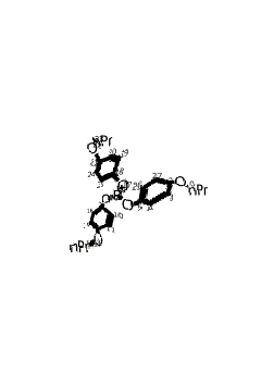 CCCOc1ccc(OB(Oc2ccc(OCCC)cc2)Oc2ccc(OCCC)cc2)cc1